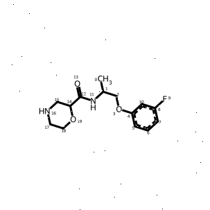 CC(COc1cccc(F)c1)NC(=O)C1CNCCO1